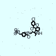 COc1ccc2[nH]c(C)c(CCNC(=O)c3ccc(CO[N+](=O)[O-])cc3)c2c1C(=O)c1ccc(Cl)cc1